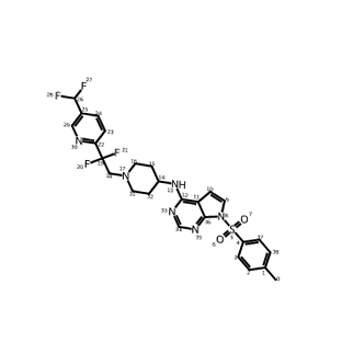 Cc1ccc(S(=O)(=O)n2ccc3c(NC4CCN(CC(F)(F)c5ccc(C(F)F)cn5)CC4)ncnc32)cc1